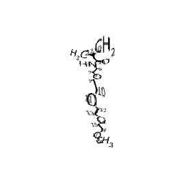 C=C(C)C(=O)NCCOCCOCCOCCOC